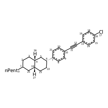 CCCCCC1CC[C@@H]2C[C@H](c3ccc(C#Cc4ccc(Cl)cc4)cc3)CC[C@@H]2C1